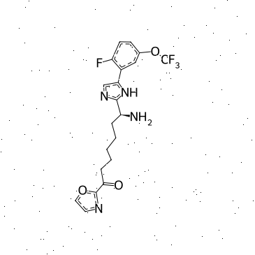 N[C@@H](CCCCCC(=O)c1ncco1)c1ncc(-c2cc(OC(F)(F)F)ccc2F)[nH]1